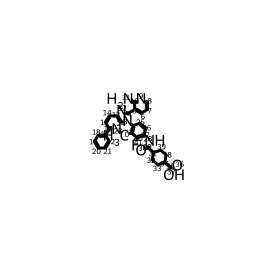 Cc1c(-n2c(-c3cccnc3N)nc3ccc(-c4ccccc4)nc32)ccc(NC(=O)C2CCC(C(=O)O)CC2)c1F